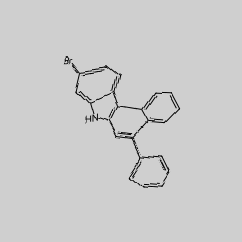 Brc1ccc2c(c1)[nH]c1cc(-c3ccccc3)c3ccccc3c12